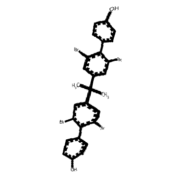 CC(C)(c1cc(Br)c(-c2ccc(O)cc2)c(Br)c1)c1cc(Br)c(-c2ccc(O)cc2)c(Br)c1